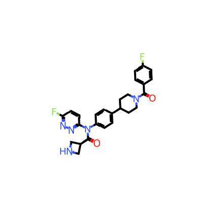 O=C(c1ccc(F)cc1)N1CCC(c2ccc(N(C(=O)C3CNC3)c3ccc(F)nn3)cc2)CC1